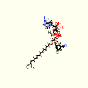 CCCCCCCCCCCCCCCCOC[C@@H](COP(=O)(O)O[C@H]1[C@]2(O)[C@@H](O)[C@@H](c3ccc4c(N)ncnn34)O[C@]12C)OCc1cc(Cl)cc(C#N)c1